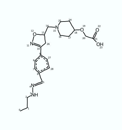 CCCNN=Cc1ccc(C2=NOC(CN3CCC(OCC(=O)O)CC3)C2)cc1